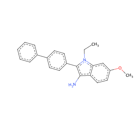 CCn1c(-c2ccc(-c3ccccc3)cc2)c(N)c2ccc(OC)cc21